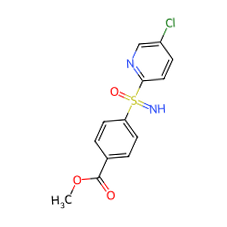 COC(=O)c1ccc(S(=N)(=O)c2ccc(Cl)cn2)cc1